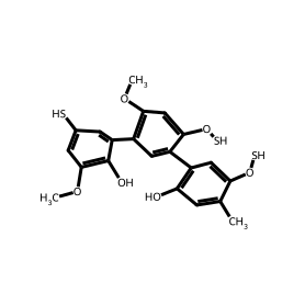 COc1cc(OS)c(-c2cc(OS)c(C)cc2O)cc1-c1cc(S)cc(OC)c1O